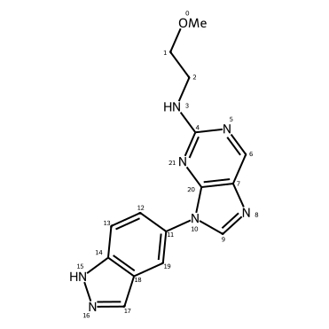 COCCNc1ncc2ncn(-c3ccc4[nH]ncc4c3)c2n1